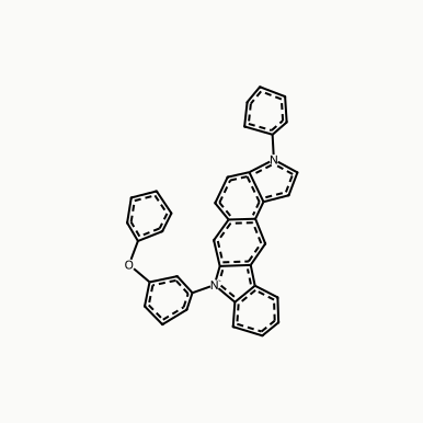 c1ccc(Oc2cccc(-n3c4ccccc4c4cc5c(ccc6c5ccn6-c5ccccc5)cc43)c2)cc1